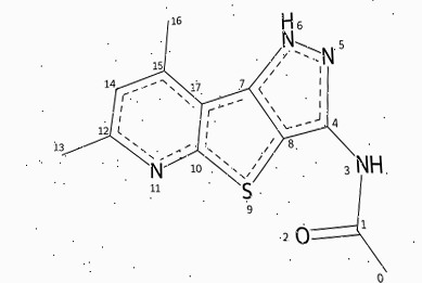 CC(=O)Nc1n[nH]c2c1sc1nc(C)cc(C)c12